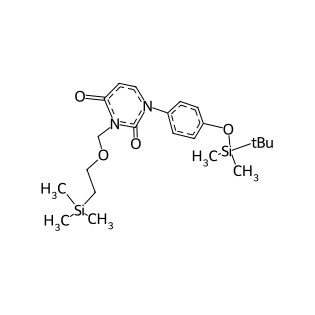 CC(C)(C)[Si](C)(C)Oc1ccc(-n2ccc(=O)n(COCC[Si](C)(C)C)c2=O)cc1